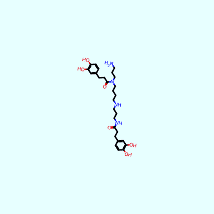 NCCCN(CCCCNCCCNC(=O)CCc1ccc(O)c(O)c1)C(=O)CCc1ccc(O)c(O)c1